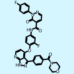 O=C(Nc1ccc(Oc2ccnc3[nH]nc(-c4ccc(C(=O)N5CCOCC5)cc4)c23)c(F)c1)c1ccnn(-c2ccc(F)cc2)c1=O